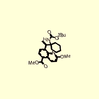 C=C(c1ccc(C(=O)OC)c2ccc(OC)nc12)C1(NC(=O)OC(C)(C)C)CCCCC1